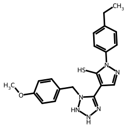 CCc1ccc(-n2ncc(C3=NNNN3Cc3ccc(OC)cc3)c2S)cc1